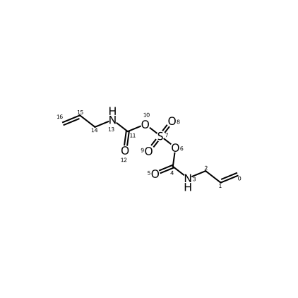 C=CCNC(=O)OS(=O)(=O)OC(=O)NCC=C